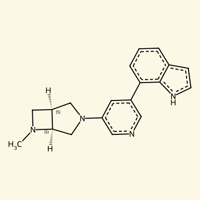 CN1C[C@H]2CN(c3cncc(-c4cccc5cc[nH]c45)c3)C[C@H]21